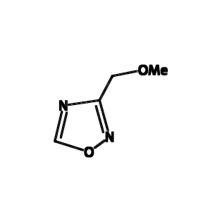 [CH2]OCc1ncon1